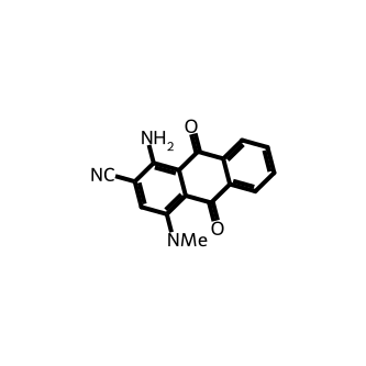 CNc1cc(C#N)c(N)c2c1C(=O)c1ccccc1C2=O